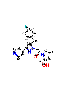 O=C(Cn1nc(-c2ccncc2)cc1Cc1ccc(F)cc1)N1CCC[C@@H]1CO